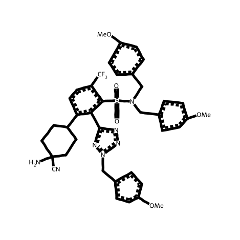 COc1ccc(CN(Cc2ccc(OC)cc2)S(=O)(=O)c2c(C(F)(F)F)ccc(C3CCC(N)(C#N)CC3)c2-c2nnn(Cc3ccc(OC)cc3)n2)cc1